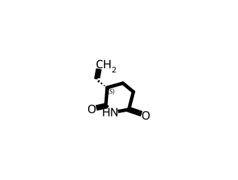 C=C[C@@H]1CCC(=O)NC1=O